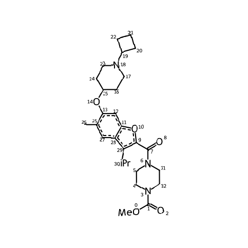 COC(=O)N1CCN(C(=O)c2oc3cc(OC4CCN(C5CCC5)CC4)c(C)cc3c2C(C)C)CC1